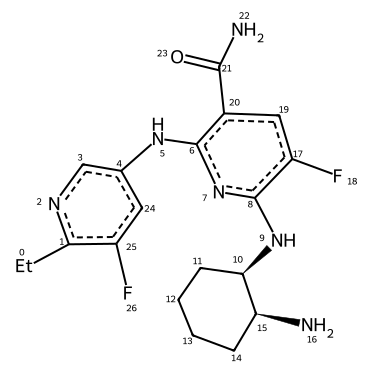 CCc1ncc(Nc2nc(N[C@@H]3CCCC[C@@H]3N)c(F)cc2C(N)=O)cc1F